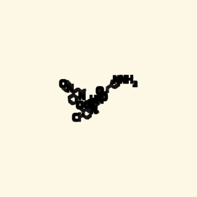 Cc1cc(N2CCOCC2)c2cccc(OCc3c(Cl)ccc(N(C)C(=O)CNOC(=O)C=Cc4ccc(N)nc4)c3Cl)c2n1